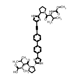 COC(=O)N[C@H](C(=O)N1CCCC1c1nc(C#Cc2ccc(-c3ccc(-c4c[nH]c([C@@H]5CCCN5C(=O)[C@H](C(C)C)N(C)C(=O)O)n4)cc3)cc2)c[nH]1)C(C)C